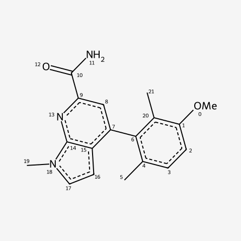 COc1ccc(C)c(-c2cc(C(N)=O)nc3c2ccn3C)c1C